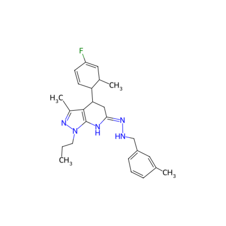 CCCn1nc(C)c2c1NC(=NNCc1cccc(C)c1)CC2C1C=CC(F)=CC1C